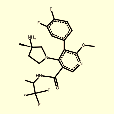 COc1ncc(C(=O)NC(C)C(F)(F)F)c(N2CC[C@](C)(N)C2)c1-c1ccc(F)c(F)c1